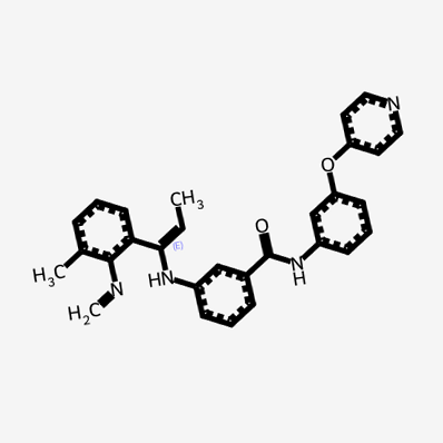 C=Nc1c(C)cccc1/C(=C\C)Nc1cccc(C(=O)Nc2cccc(Oc3ccncc3)c2)c1